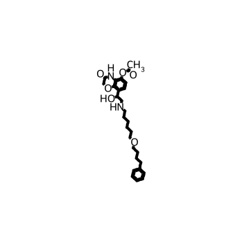 CC(=O)Oc1ccc(C(O)CNCCCCCCOCCCCc2ccccc2)c2c1NC(=O)CO2